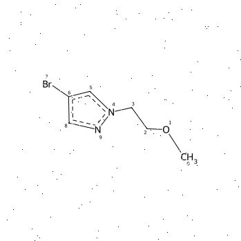 COCCn1cc(Br)cn1